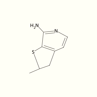 CC1Cc2ccnc(N)c2S1